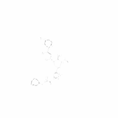 N/C(=C\N(N)C1CC(c2nnc(C(=O)NCc3cccnc3)o2)OC(CO)C1O)c1cccc(F)c1